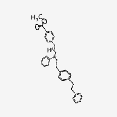 COC(=O)c1ccc(CNC[C@@H](CCc2ccc(CCc3ccccc3)cc2)c2ccccc2)cc1